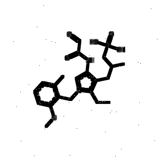 CCc1c(CC(C)CP(=O)(O)O)c(NC(=O)C=O)cn1Cc1c(C)cccc1OC